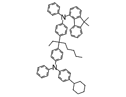 CCCCCC(CC)(c1ccc(N(c2ccccc2)c2ccc(C3CCCCC3)cc2)cc1)c1ccc(N(c2ccccc2)c2cccc3c2-c2ccccc2C3(C)C)cc1